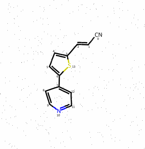 N#CC=Cc1ccc(-c2ccncc2)s1